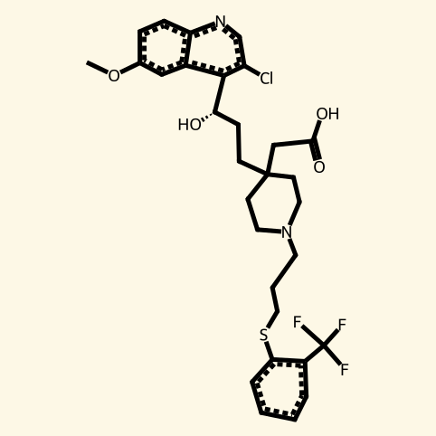 COc1ccc2ncc(Cl)c([C@@H](O)CCC3(CC(=O)O)CCN(CCCSc4ccccc4C(F)(F)F)CC3)c2c1